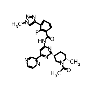 CC(=O)N1C[C@H](c2nc(NC(=O)c3cccc(-c4cn(C)nn4)c3F)cc(-c3cnccn3)n2)CC[C@@H]1C